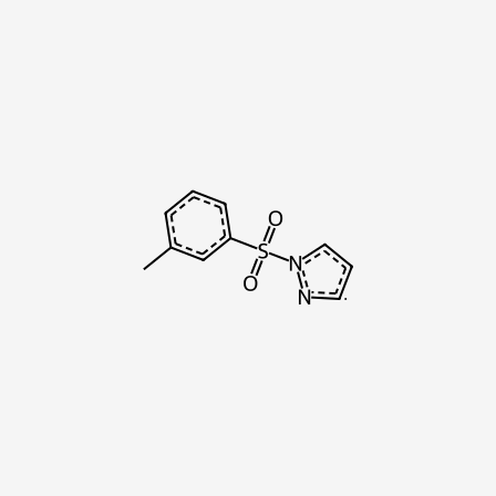 Cc1cccc(S(=O)(=O)n2cc[c]n2)c1